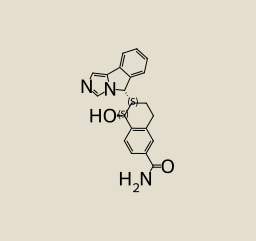 NC(=O)c1ccc2c(c1)CC[C@@H](C1c3ccccc3-c3cncn31)[C@@H]2O